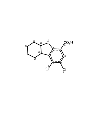 O=C(O)c1cc(Cl)c(Cl)c2c1OC1CCCCC21